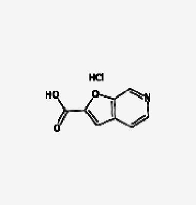 Cl.O=C(O)c1cc2ccncc2o1